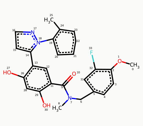 COc1ccc(CN(C)C(=O)c2cc(-c3ccnn3-c3ccccc3C)c(O)cc2O)cc1F